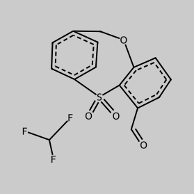 FC(F)F.O=Cc1cccc2c1S(=O)(=O)c1ccc(cc1)CO2